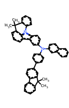 CC1(C)c2ccccc2-c2ccc(-c3ccc(N(c4ccc5ccccc5c4)c4ccc5c(c4)c4cccc6c4n5-c4ccccc4C6(C)C)cc3)cc21